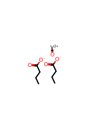 CCCC(=O)[O-].CCCC(=O)[O-].[O]=[V+2]